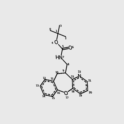 CC(C)(C)OC(=O)NCC1Cc2ccccc2Oc2cccnc21